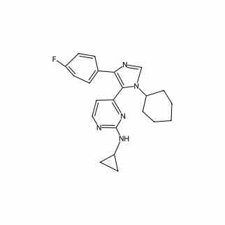 Fc1ccc(-c2ncn(C3CCCCC3)c2-c2ccnc(NC3CC3)n2)cc1